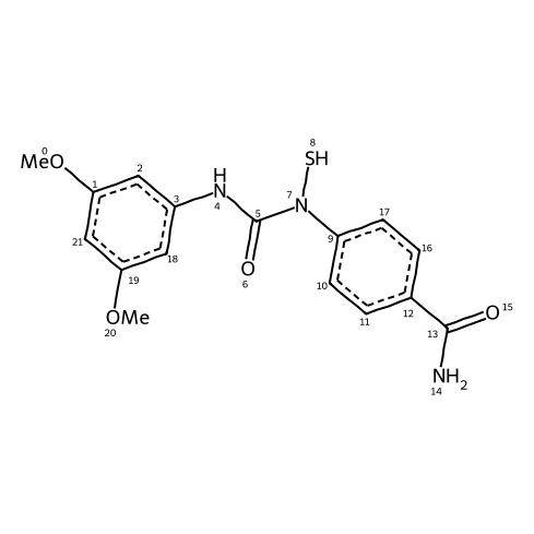 COc1cc(NC(=O)N(S)c2ccc(C(N)=O)cc2)cc(OC)c1